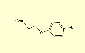 [Li][c]1ccc(OCCCCCCC)cc1